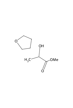 C1CCOC1.COC(=O)C(C)O